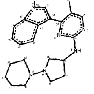 Clc1cnc(NC2CCN(N3CCCCC3)C2)nc1-c1c[nH]c2ccccc12